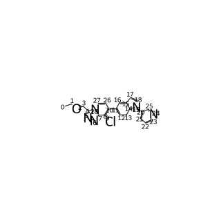 CCOCc1nnc2c(Cl)c(C3=CCC4C(=C3)C=CN4c3cccnc3)ccn12